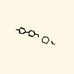 Cc1ccc(-c2ccc(CC[C@H]3CC[C@H](/C=C/Cl)CC3)cc2)cc1